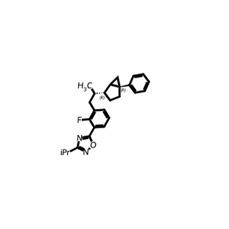 CC(C)c1noc(-c2cccc(CC(C)[C@H]3CC[C@@]4(c5ccccc5)CC34)c2F)n1